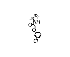 CC(C)[C@@H](C)NC(=O)COc1cccc(Cl)c1